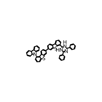 C1=CC2c3ccccc3N(c3cccc4sc5cc(-c6ccc7c(c6)sc6c(C8NC(c9ccccc9)=NC(c9ccccc9)N8)cccc67)ccc5c34)C2C=C1